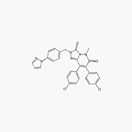 Cn1c(=O)c(-c2ccc(Cl)cc2)c(-c2ccc(Cl)cc2)c2nn(Cc3ccc(-n4cccn4)cc3)c(=O)n21